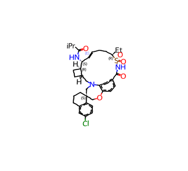 CC[C@@H]1CC/C=C/[C@@H](NC(=O)C(C)C)[C@@H]2CC[C@H]2CN2C[C@@]3(CCCc4cc(Cl)ccc43)COc3ccc(cc32)C(=O)NS1(=O)=O